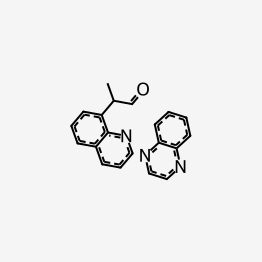 CC(C=O)c1cccc2cccnc12.c1ccc2nccnc2c1